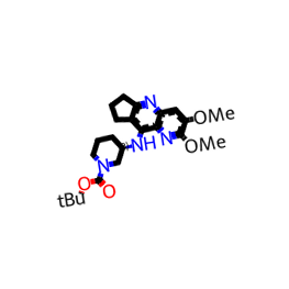 COc1cc2nc3c(c(N[C@@H]4CCCN(C(=O)OC(C)(C)C)C4)c2nc1OC)CCC3